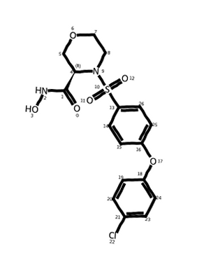 O=C(NO)[C@H]1COCCN1S(=O)(=O)c1ccc(Oc2ccc(Cl)cc2)cc1